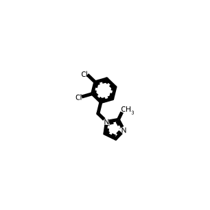 Cc1nccn1Cc1cccc(Cl)c1Cl